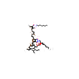 CCCCCCCCN1C(=O)c2c(C)sc(C3=CC4SC(c5sc(-c6cc7c(s6)-c6sc(C)cc6[Si]7(CC(CC)CCCC)CC(CC)CCCC)c6c5C(=O)N(CCCCCCCC)C6=O)=CC4S3)c2C1=O